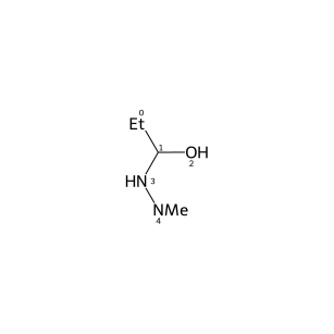 CCC(O)NNC